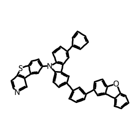 c1ccc(-c2ccc3c(c2)c2cc(-c4cccc(-c5ccc6oc7ccccc7c6c5)c4)ccc2n3-c2ccc3sc4ccncc4c3c2)cc1